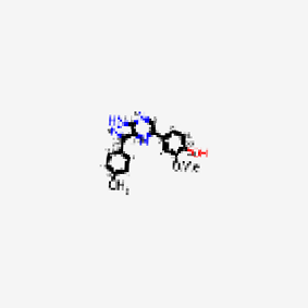 COc1cc(-c2cnc3[nH]nc(-c4ccc(C)cc4)c3n2)ccc1O